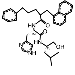 CC(C)C[C@@H](CO)NC(=O)[C@H](Cc1c[nH]cn1)NC(=O)C(CCCc1ccccc1)Cc1cccc2ccccc12